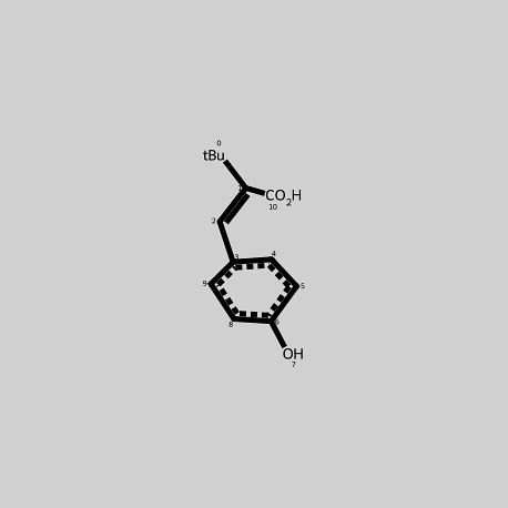 CC(C)(C)C(=Cc1ccc(O)cc1)C(=O)O